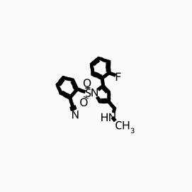 CNCc1cc(-c2ccccc2F)n(S(=O)(=O)c2ccccc2C#N)c1